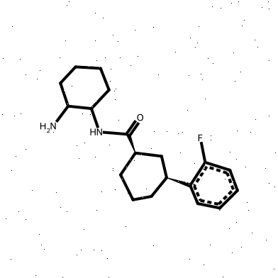 NC1CCCCC1NC(=O)[C@@H]1CCC[C@H](c2c[c]ccc2F)C1